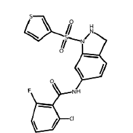 O=C(Nc1ccc2c(c1)N(S(=O)(=O)c1ccsc1)NC2)c1c(F)cccc1Cl